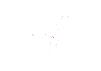 Cc1cc(C)nc(N2C[C@H]3CC45CCC2C3C42CCN(C)C5Cc3ccc(O)cc32)n1